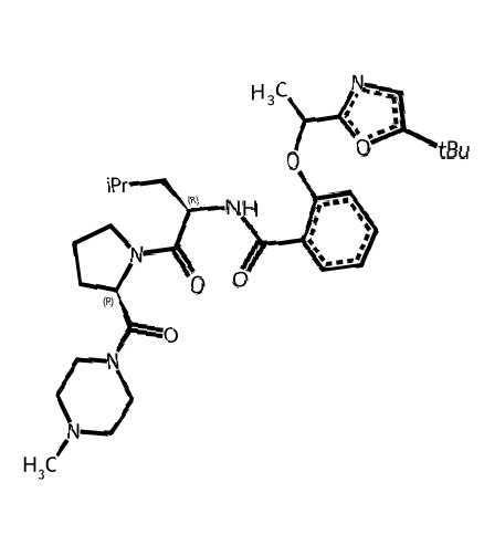 CC(C)C[C@@H](NC(=O)c1ccccc1OC(C)c1ncc(C(C)(C)C)o1)C(=O)N1CCC[C@@H]1C(=O)N1CCN(C)CC1